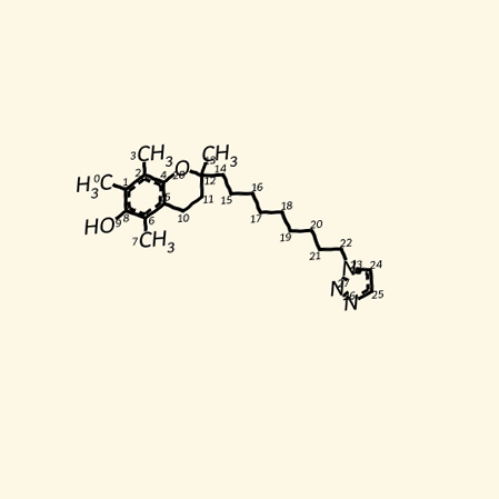 Cc1c(C)c2c(c(C)c1O)CCC(C)(CCCCCCCCCn1ccnn1)O2